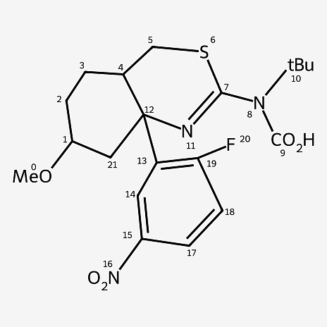 COC1CCC2CSC(N(C(=O)O)C(C)(C)C)=NC2(c2cc([N+](=O)[O-])ccc2F)C1